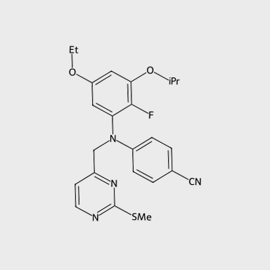 CCOc1cc(OC(C)C)c(F)c(N(Cc2ccnc(SC)n2)c2ccc(C#N)cc2)c1